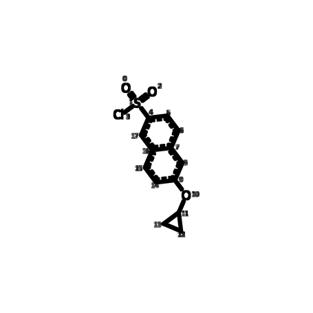 O=S(=O)(Cl)c1ccc2cc(OC3CC3)ccc2c1